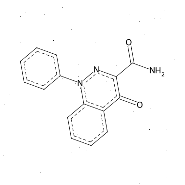 NC(=O)c1nn(-c2ccccc2)c2ccccc2c1=O